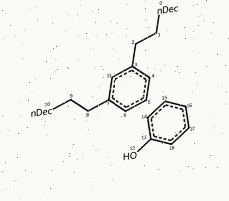 CCCCCCCCCCCCc1cccc(CCCCCCCCCCCC)c1.Oc1ccccc1